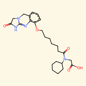 O=C(O)CN(C(=O)CCCCCCOc1cccc2c1N=C1NC(=O)CN1C2)C1CCCCC1